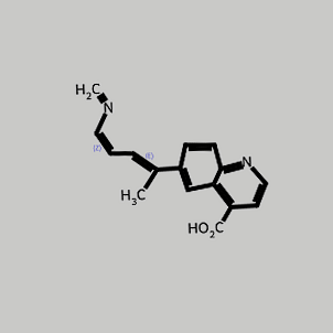 C=N/C=C\C=C(/C)c1ccc2nccc(C(=O)O)c2c1